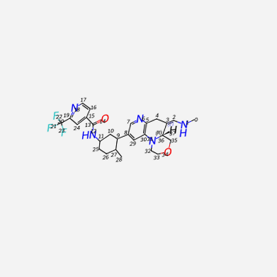 CN/C=C1/Cc2ncc(C3CC(NC(=O)c4ccnc(C(F)(F)F)c4)CCC3C)cc2N2CCOC[C@@H]12